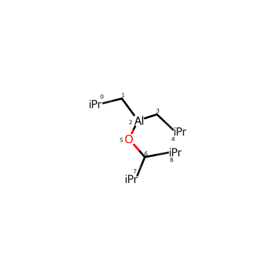 CC(C)[CH2][Al]([CH2]C(C)C)[O]C(C(C)C)C(C)C